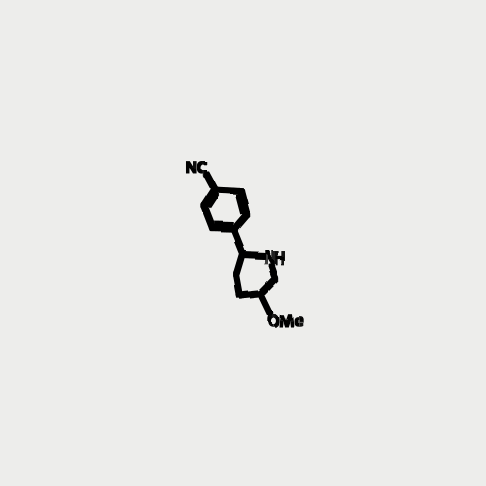 COC1CCC(c2ccc(C#N)cc2)NC1